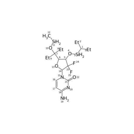 CCC(CC)[SiH2]OC1C(C(CC)(CC)O[SiH2]C)OC(n2ccc(N)nc2=O)C1(F)F